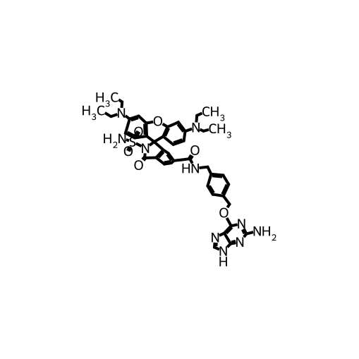 CCN(CC)c1ccc2c(c1)Oc1cc(N(CC)CC)ccc1C21c2cc(C(=O)NCc3ccc(COc4nc(N)nc5[nH]cnc45)cc3)ccc2C(=O)N1S(N)(=O)=O